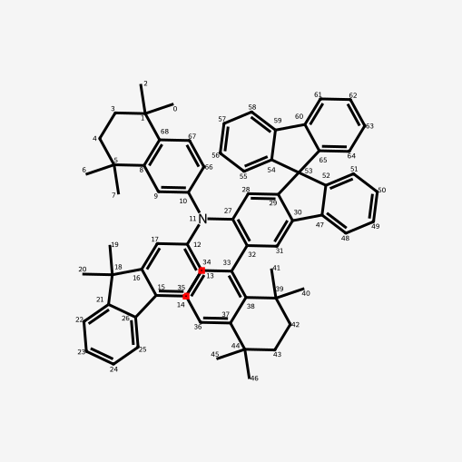 CC1(C)CCC(C)(C)c2cc(N(c3ccc4c(c3)C(C)(C)c3ccccc3-4)c3cc4c(cc3-c3cccc5c3C(C)(C)CCC5(C)C)-c3ccccc3C43c4ccccc4-c4ccccc43)ccc21